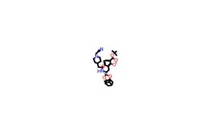 COc1c(CC(NC(=O)CC2CCN(CC#N)CC2)B2OC3CC4CC(C4(C)C)C3(C)O2)cccc1C(=O)OC(C)(C)C